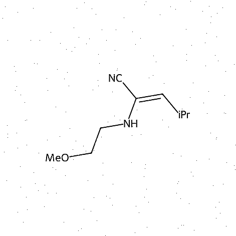 COCCN/C(C#N)=C\C(C)C